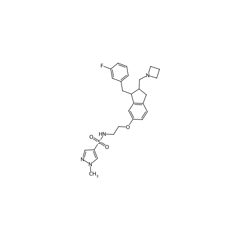 Cn1cc(S(=O)(=O)NCCOc2ccc3c(c2)C(Cc2cccc(F)c2)C(CN2CCC2)C3)cn1